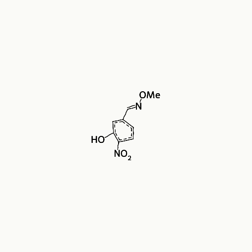 CON=Cc1ccc([N+](=O)[O-])c(O)c1